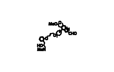 CNCC(O)Cc1ccccc1OC/C=C/COC1(C)CCN(c2c(CC(=O)OC)c(C)cn3nc(C=O)cc23)CC1